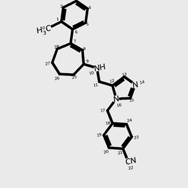 Cc1ccccc1C1=CC(NCc2cncn2Cc2ccc(C#N)cc2)CCCC1